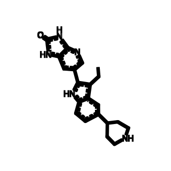 CCc1c(-c2cnc3[nH]c(=O)[nH]c3c2)[nH]c2ccc(C3CCNCC3)cc12